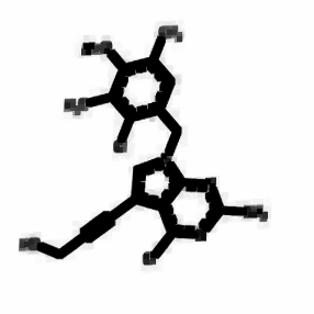 COc1c(C)cc(Cn2cc(C#CCO)c3c(Cl)nc(N)nc32)c(Cl)c1C